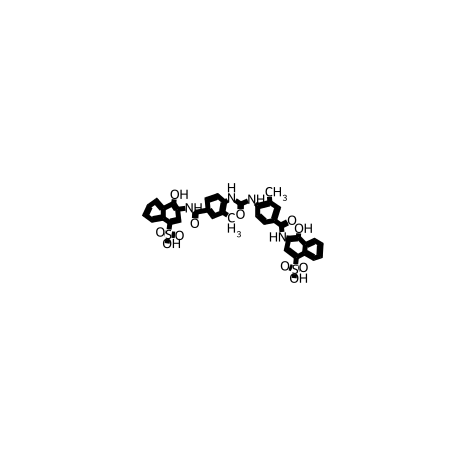 Cc1cc(C(=O)Nc2cc(S(=O)(=O)O)c3ccccc3c2O)ccc1NC(=O)Nc1ccc(C(=O)Nc2cc(S(=O)(=O)O)c3ccccc3c2O)cc1C